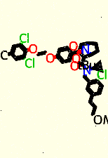 COCCCc1ccc(Cl)c(CN(C(=O)C2C(c3ccc(OCCOc4c(Cl)cc(C)cc4Cl)cc3)CC3CCC2N3C(=O)OC(C)(C)C)C2CC2)c1